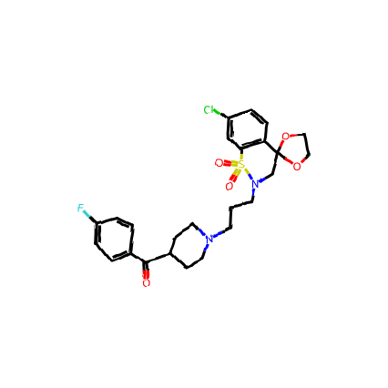 O=C(c1ccc(F)cc1)C1CCN(CCCN2CC3(OCCO3)c3ccc(Cl)cc3S2(=O)=O)CC1